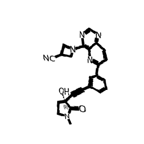 CN1CC[C@@](O)(C#Cc2cccc(-c3ccc4ncnc(N5CC(C#N)C5)c4n3)c2)C1=O